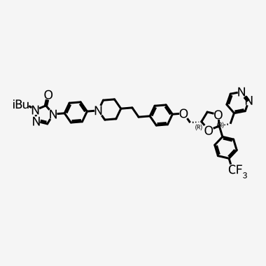 CCC(C)n1ncn(-c2ccc(N3CCC(CCc4ccc(OC[C@@H]5CO[C@@](Cc6ccnnc6)(c6ccc(C(F)(F)F)cc6)O5)cc4)CC3)cc2)c1=O